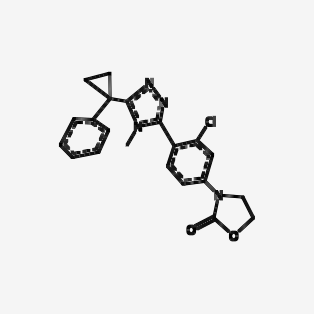 Cn1c(-c2ccc(N3CCOC3=O)cc2Cl)nnc1C1(c2ccccc2)CC1